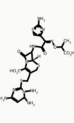 CC(O/N=C(\C(=O)NC1C(=O)N2C(C(=O)O)=C(CSC3=NC(N)=CC(N)N3N)CS[C@@H]12)c1csc(N)n1)C(=O)O